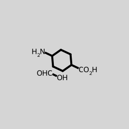 NC1CCC(C(=O)O)CC1.O=CO